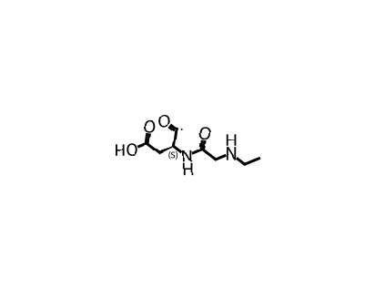 CCNCC(=O)N[C@H]([C]=O)CC(=O)O